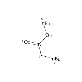 CCCC[CH]C(=O)OCCCC